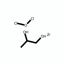 CC(O)CO.ClOCl.[Zr]